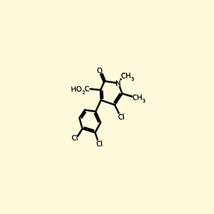 Cc1c(Cl)c(-c2ccc(Cl)c(Cl)c2)c(C(=O)O)c(=O)n1C